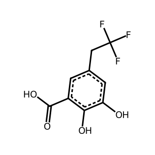 O=C(O)c1cc(CC(F)(F)F)cc(O)c1O